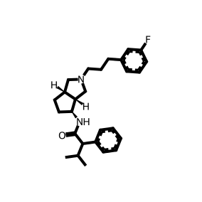 CC(C)C(C(=O)N[C@H]1CC[C@@H]2CN(CCCc3cccc(F)c3)C[C@@H]21)c1ccccc1